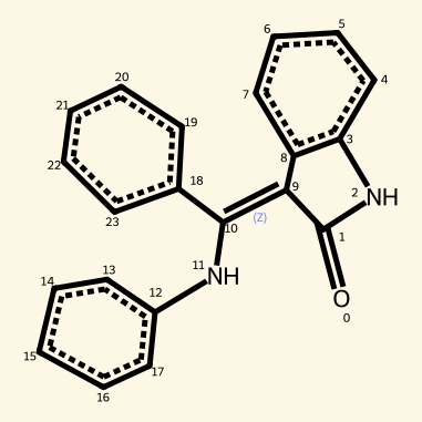 O=C1Nc2ccccc2/C1=C(/Nc1ccccc1)c1ccccc1